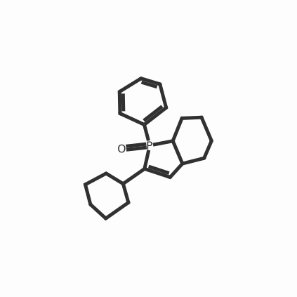 O=P1(c2ccccc2)C(C2CCCCC2)=CC2CCCCC21